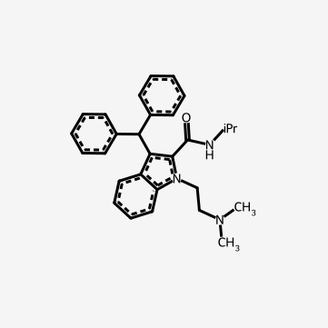 CC(C)NC(=O)c1c(C(c2ccccc2)c2ccccc2)c2ccccc2n1CCN(C)C